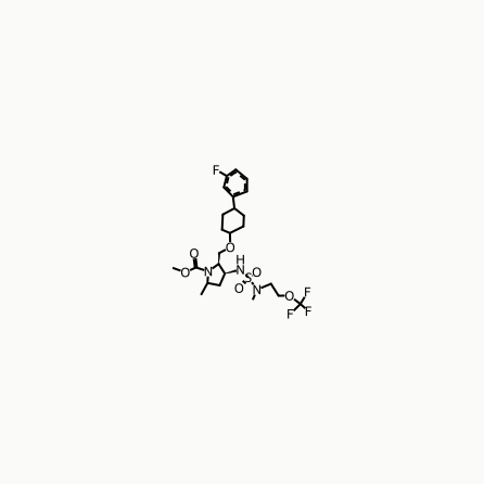 COC(=O)N1C(C)C[C@H](NS(=O)(=O)N(C)CCOC(F)(F)F)[C@@H]1COC1CCC(c2cccc(F)c2)CC1